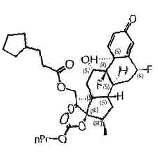 CCCOC(=O)O[C@]1(C(=O)COC(=O)CCC2CCCC2)[C@H](C)C[C@H]2[C@@H]3C[C@H](F)C4=CC(=O)C=C[C@]4(C)[C@@]3(F)[C@@H](O)C[C@@]21C